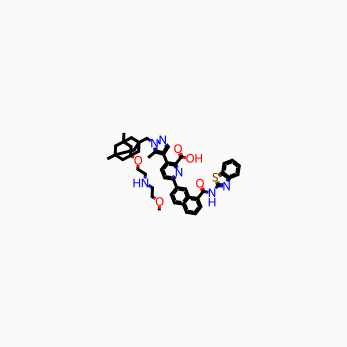 COCCNCCOC12CC3(C)CC(C)(CC(Cn4ncc(-c5ccc(-c6ccc7cccc(C(=O)Nc8nc9ccccc9s8)c7c6)nc5C(=O)O)c4C)(C3)C1)C2